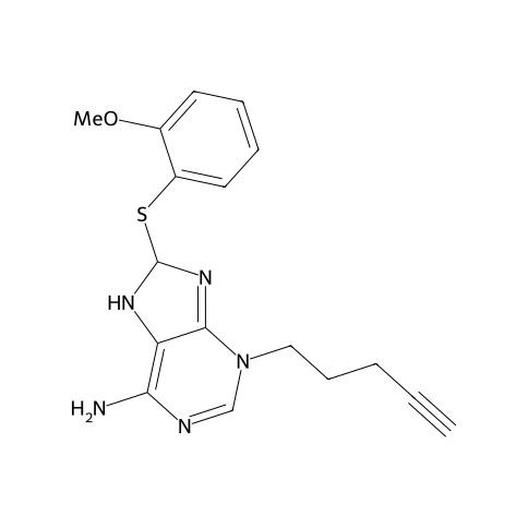 C#CCCCN1C=NC(N)=C2NC(Sc3ccccc3OC)N=C21